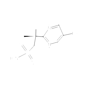 C[C@](F)(CS(N)(=O)=O)c1ncc(F)cn1